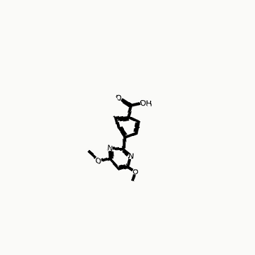 COc1cc(OC)nc(-c2ccc(C(=O)O)cc2)n1